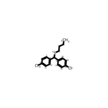 CCCCSC(c1ccc(Cl)cc1)c1ccc(Cl)cc1